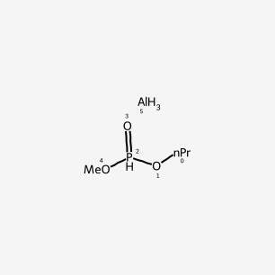 CCCO[PH](=O)OC.[AlH3]